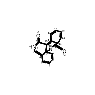 O=C1NC=C2C=CC=CC23NC(=O)C2C=CC=CC2=C13